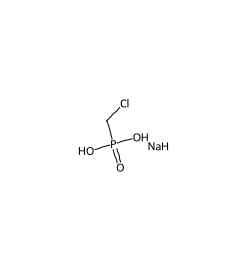 O=P(O)(O)CCl.[NaH]